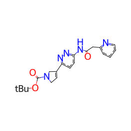 CC(C)(C)OC(=O)N1CC=C(c2ccc(NC(=O)Cc3ccccn3)nn2)C1